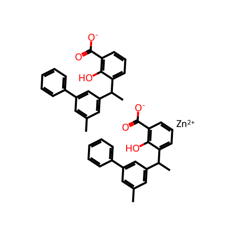 Cc1cc(-c2ccccc2)cc(C(C)c2cccc(C(=O)[O-])c2O)c1.Cc1cc(-c2ccccc2)cc(C(C)c2cccc(C(=O)[O-])c2O)c1.[Zn+2]